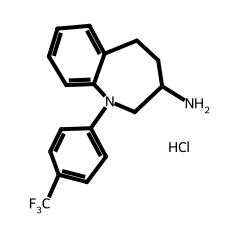 Cl.NC1CCc2ccccc2N(c2ccc(C(F)(F)F)cc2)C1